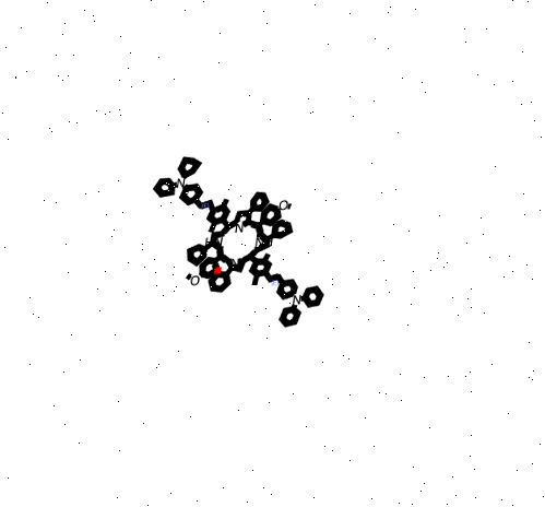 COc1ccc(-c2c3nc(c(-c4cc(C)c(/C=C/c5ccc(N(c6ccccc6)c6ccccc6)cc5)cc4C)c4cc(-c5ccccc5)c([nH]4)c(-c4ccc(OC)cc4)c4nc(c(-c5cc(C)c(/C=C/c6ccc(N(c7ccccc7)c7ccccc7)cc6)cc5C)c5cc(-c6ccccc6)c2[nH]5)C=C4c2ccccc2)C=C3c2ccccc2)cc1